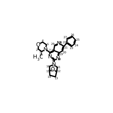 C[C@H]1COCCN1c1nc(N2CC3CCC(C2)O3)nc2cc(-c3ccccc3)ncc12